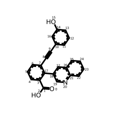 O=C(O)c1cccc(C#Cc2cccc(O)c2)c1-c1cnc2ccccc2c1